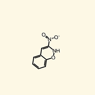 O=[N+]([O-])C1=Cc2ccccc2ON1